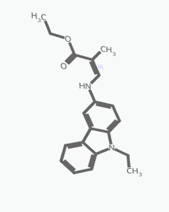 CCOC(=O)/C(C)=C\Nc1ccc2c(c1)c1ccccc1n2CC